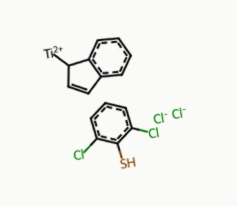 Sc1c(Cl)cccc1Cl.[Cl-].[Cl-].[Ti+2][CH]1C=Cc2ccccc21